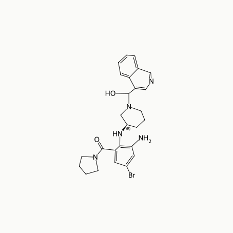 Nc1cc(Br)cc(C(=O)N2CCCC2)c1N[C@@H]1CCCN(C(O)c2cncc3ccccc23)C1